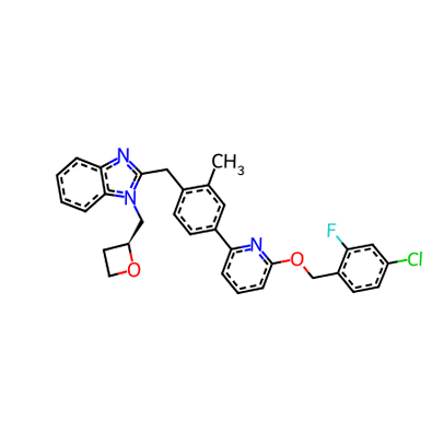 Cc1cc(-c2cccc(OCc3ccc(Cl)cc3F)n2)ccc1Cc1nc2ccccc2n1C[C@@H]1CCO1